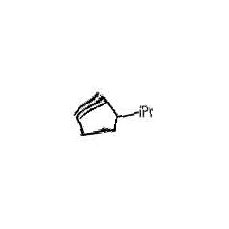 CC(C)C1C#CCC1